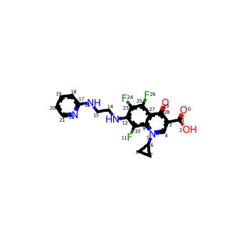 O=C(O)c1cn(C2CC2)c2c(F)c(NCCNc3ccccn3)c(F)c(F)c2c1=O